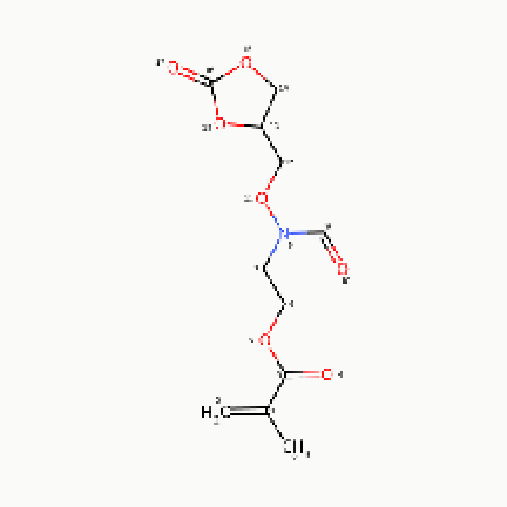 C=C(C)C(=O)OCCN(C=O)OCC1COC(=O)O1